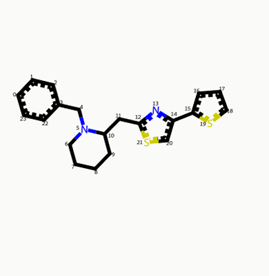 c1ccc(CN2CCCCC2Cc2nc(-c3cccs3)cs2)cc1